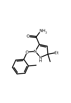 CCC1(C)C=C(C(N)=O)N(Oc2ccccc2C)N1